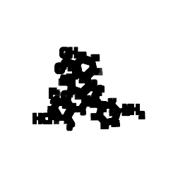 Cc1ccc(F)cc1Cn1c(N2CCC[C@@H](N)C2)nc2c3cccc(C(=O)O)c3n(C)c(=O)c21.Cl